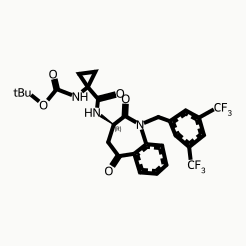 CC(C)(C)OC(=O)NC1(C(=O)N[C@@H]2CC(=O)c3ccccc3N(Cc3cc(C(F)(F)F)cc(C(F)(F)F)c3)C2=O)CC1